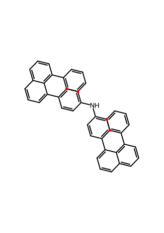 c1ccc(-c2cccc3cccc(-c4ccc(Nc5ccc(-c6cccc7cccc(-c8ccccc8)c67)cc5)cc4)c23)cc1